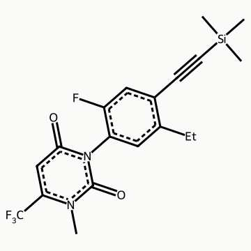 CCc1cc(-n2c(=O)cc(C(F)(F)F)n(C)c2=O)c(F)cc1C#C[Si](C)(C)C